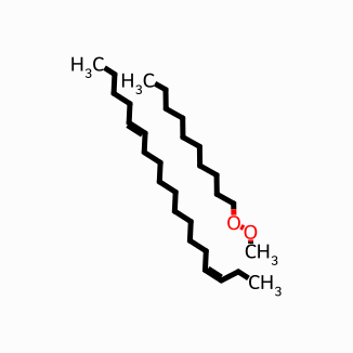 CC/C=C\CCCCCCCC/C=C/CCCC.CCCCCCCCCCOOC